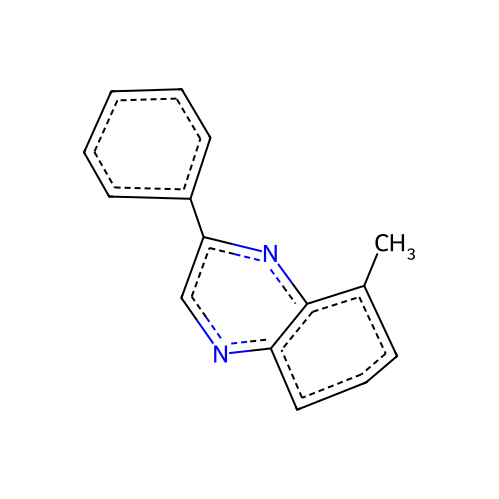 Cc1cccc2ncc(-c3ccccc3)nc12